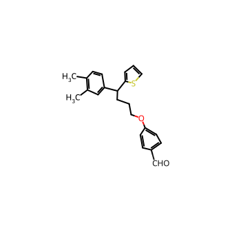 Cc1ccc(C(CCCOc2ccc(C=O)cc2)c2cccs2)cc1C